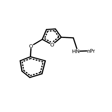 CCCNCc1ccc(Oc2ccccc2)o1